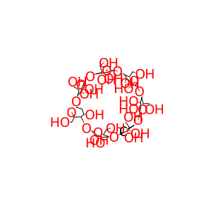 OCC1CC2OC3C(CO)OC(OC4C(O)CC(OC4CO)OC4C(CO)OC(OC5C(CO)OC(OC6C(CO)OC(OC7C(CO)OC(OC1C(O)C2O)C(O)C7O)C(O)C6O)C(O)C5O)C(O)C4O)C(O)C3O